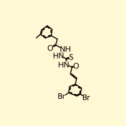 Cc1cccc(CC(=O)NNC(=S)NC(=O)C=Cc2cc(Br)cc(Br)c2)c1